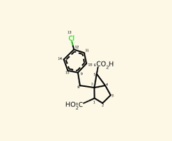 O=C(O)C1CCC2C(C(=O)O)C12Cc1ccc(Cl)cc1